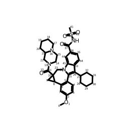 COc1ccc2c(c1)C1CC1(C(=O)N1CCN3CCCCC3C1)Cn1c-2c(C2CCCCC2)c2ccc(C(=O)NS(C)(=O)=O)cc21